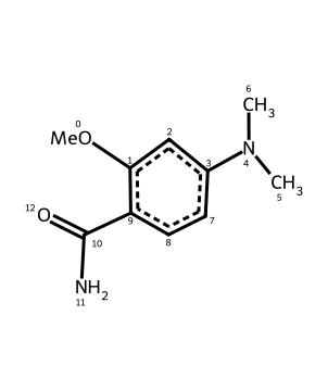 COc1cc(N(C)C)ccc1C(N)=O